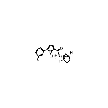 Cn1c(C(=O)N[C@@H]2C[C@H]3CC[C@@H]2N3)ccc1-c1cccc(Cl)c1